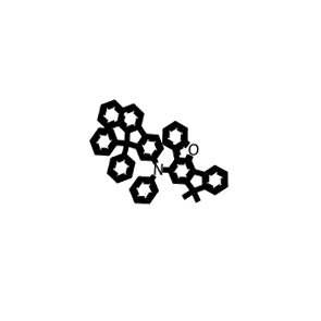 CC1(C)c2ccccc2-c2c1cc(N(c1ccccc1)c1ccc3c(c1)C(c1ccccc1)(c1ccccc1)c1c-3ccc3ccccc13)c1c2oc2ccccc21